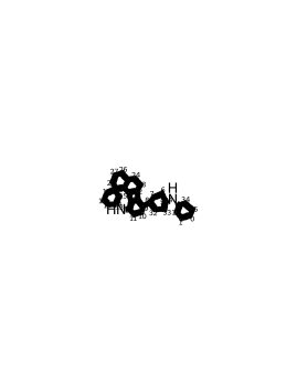 c1ccc(Nc2ccc(-c3ccc(Nc4ccccc4)c4c3-c3ccc5ccccc5c3-4)cc2)cc1